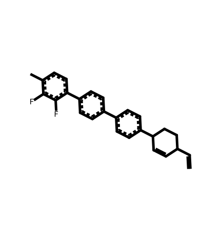 C=CC1C=CC(c2ccc(-c3ccc(-c4ccc(C)c(F)c4F)cc3)cc2)CC1